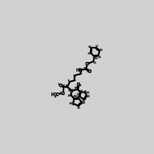 COC(=O)C(CCCCNC(=O)OCc1ccccc1)N(Cc1cccs1)C(=O)c1cccs1